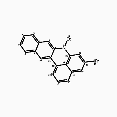 CCN1c2cc3ccccc3cc2-c2nccc3cc(C(C)C)cc1c23